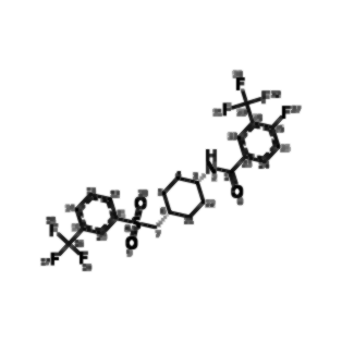 O=C(N[C@H]1CC[C@@H](CS(=O)(=O)c2cccc(C(F)(F)F)c2)CC1)c1ccc(F)c(C(F)(F)F)c1